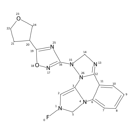 FN1C=C2N(C1)c1ccccc1C1=NCN(c3noc(C4CCOC4)n3)N21